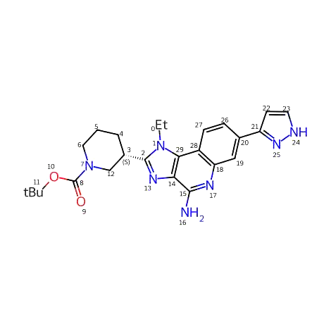 CCn1c([C@H]2CCCN(C(=O)OC(C)(C)C)C2)nc2c(N)nc3cc(-c4cc[nH]n4)ccc3c21